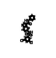 O=C(Nc1ccccc1)c1cnn2ccc(NS(=O)(=O)c3cc(Cl)cc(Cl)c3)nc12